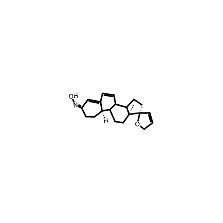 C[C@]12CCC3C(C=CC4=CC(=NO)CC[C@@H]43)C1CC[C@@]21C=CCO1